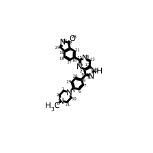 CN1CCN(c2ccc(-c3n[nH]c4cnc(-c5ccc6c(c5)C(=O)N=C6)nc34)cc2)CC1